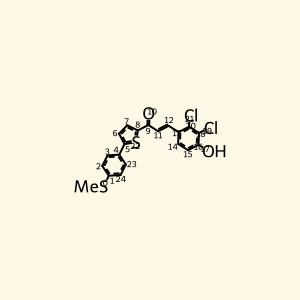 CSc1ccc(-c2ccc(C(=O)/C=C/c3ccc(O)c(Cl)c3Cl)s2)cc1